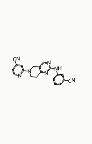 N#Cc1cccc(Nc2ncc3c(n2)CCN(c2cc(C#N)ccn2)C3)c1